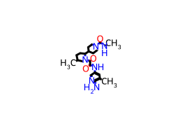 CNC(=O)N1CCC(C2CCC(C)CN2C(=O)C(=O)Nc2cnc(N)c(C)c2)CC1